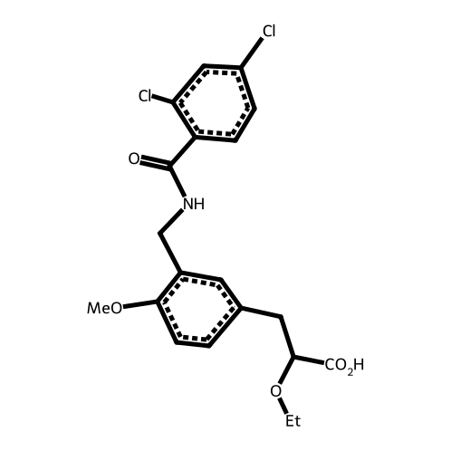 CCOC(Cc1ccc(OC)c(CNC(=O)c2ccc(Cl)cc2Cl)c1)C(=O)O